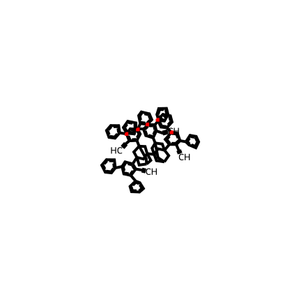 C#Cc1c(-c2ccccc2)cc(-c2ccccc2)cc1C12CC3CC(c4cc(-c5ccccc5)cc(-c5ccccc5)c4C#C)(C1)CC(C14CC5CC(c6cc(-c7ccccc7)cc(-c7ccccc7)c6C#C)(CC(c6cc(-c7ccccc7)cc(-c7ccccc7)c6C#C)(C5)C1)C4)(C3)C2